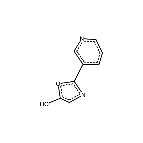 Oc1cnc(-c2cccnc2)o1